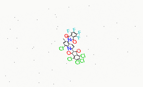 Cc1cc(Cl)c2nc(C3C(=O)c4c(Cl)c(Cl)c(Cl)c(Cl)c4C3=O)ccc2c1N1C(=O)c2c(F)c(F)c(F)c(F)c2C1=O